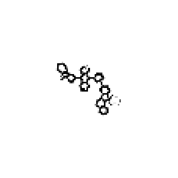 CC1(C)c2ccc(-c3cccc(-c4c5ccccc5c(-c5ccc6sc7ccccc7c6c5)c5ccccc45)c3)cc2-c2ccc3ccccc3c21